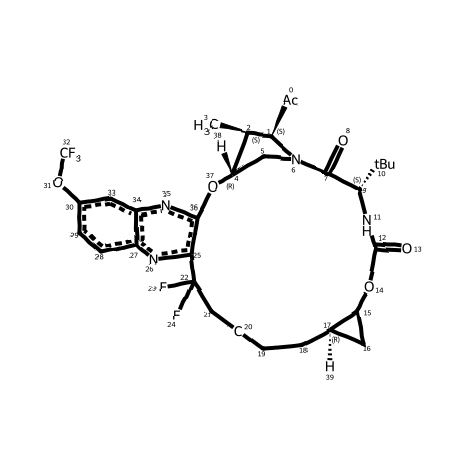 CC(=O)[C@@H]1[C@H](C)[C@@H]2CN1C(=O)[C@H](C(C)(C)C)NC(=O)OC1C[C@H]1CCCCC(F)(F)c1nc3ccc(OC(F)(F)F)cc3nc1O2